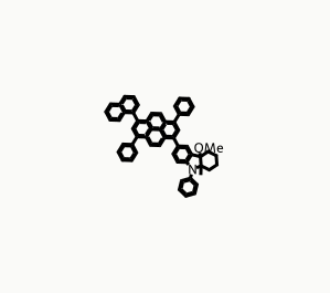 COC12CCCCC1(C)N(c1ccccc1)c1ccc(-c3cc(-c4ccccc4)c4ccc5c(-c6cccc7ccccc67)cc(-c6ccccc6)c6ccc3c4c65)cc12